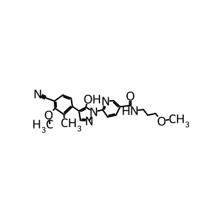 COCCCNC(=O)c1ccc(-n2ncc(-c3ccc(C#N)c(OC)c3C)c2O)nc1